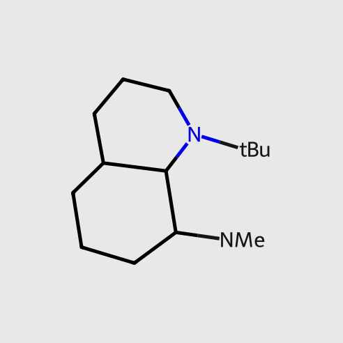 CNC1CCCC2CCCN(C(C)(C)C)C21